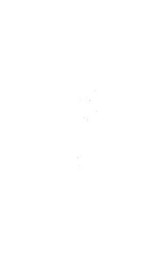 COC(=O)c1cc(NC(=O)NC(C)(C)C)ccc1Cl